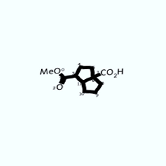 COC(=O)C1CCC2(C(=O)O)CCCC12